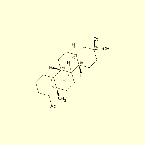 CC[C@@]1(O)CC[C@H]2[C@@H](CC[C@@H]3[C@@H]2CC[C@]2(C)C(C(C)=O)CCC[C@@H]32)C1